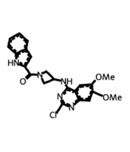 COc1cc2nc(Cl)nc(NC3CN(C(=O)c4cc5ccccc5[nH]4)C3)c2cc1OC